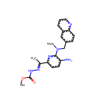 CNN(Cc1ccc2ncccc2c1)c1nc(/C(C)=N/NC(=O)OC(C)(C)C)ccc1N